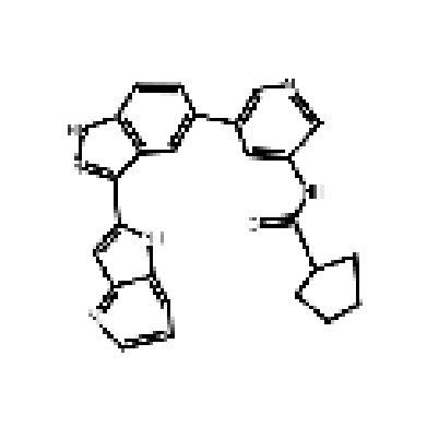 O=C(Nc1cncc(-c2ccc3[nH]nc(-c4cc5ncccc5[nH]4)c3c2)c1)C1CCCC1